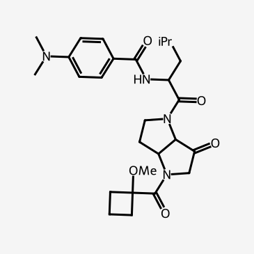 COC1(C(=O)N2CC(=O)C3C2CCN3C(=O)C(CC(C)C)NC(=O)c2ccc(N(C)C)cc2)CCC1